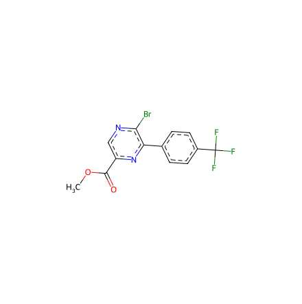 COC(=O)c1cnc(Br)c(-c2ccc(C(F)(F)F)cc2)n1